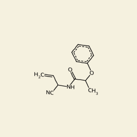 C=CC(C#N)NC(=O)C(C)Oc1ccccc1